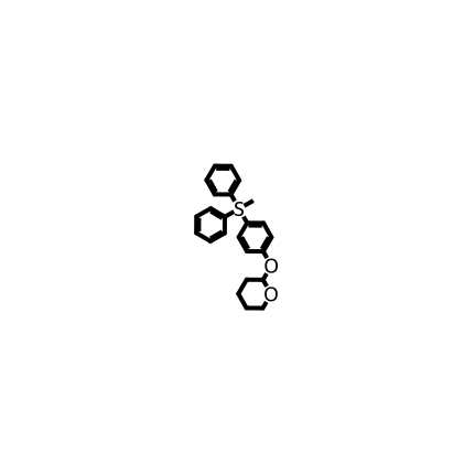 CS(c1ccccc1)(c1ccccc1)c1ccc(OC2CCCCO2)cc1